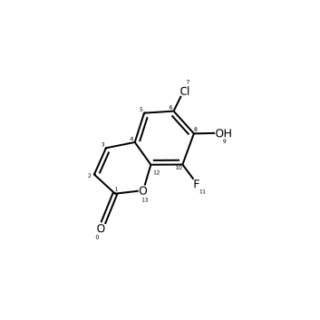 O=c1ccc2cc(Cl)c(O)c(F)c2o1